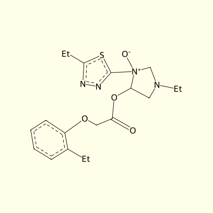 CCc1nnc([N+]2([O-])CN(CC)CC2OC(=O)COc2ccccc2CC)s1